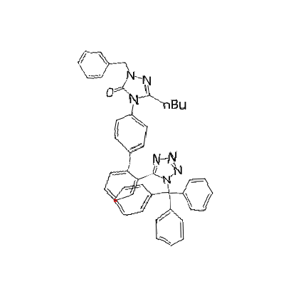 CCCCc1nn(Cc2ccccc2)c(=O)n1-c1ccc(-c2ccccc2-c2nnnn2C(c2ccccc2)(c2ccccc2)c2ccccc2)cc1